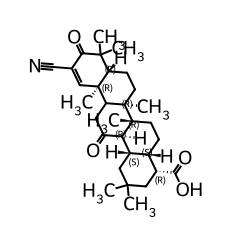 CC1(C)C[C@H]2[C@H](CC[C@]3(C)[C@@H]2C(=O)CC2[C@@]4(C)C=C(C#N)C(=O)C(C)(C)[C@@H]4CC[C@]23C)[C@H](C(=O)O)C1